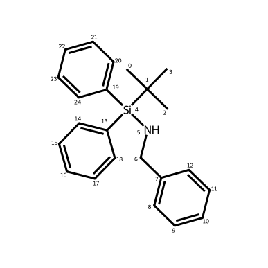 CC(C)(C)[Si](NCc1ccccc1)(c1ccccc1)c1ccccc1